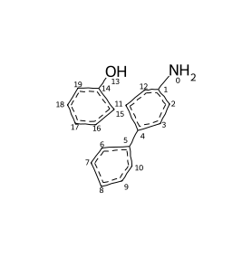 Nc1ccc(-c2ccccc2)cc1.Oc1ccccc1